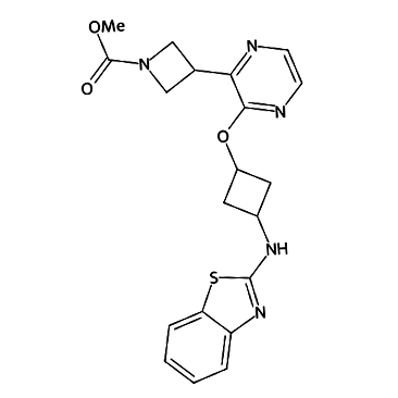 COC(=O)N1CC(c2nccnc2OC2CC(Nc3nc4ccccc4s3)C2)C1